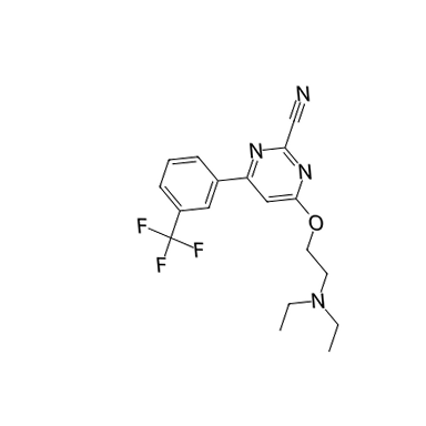 CCN(CC)CCOc1cc(-c2cccc(C(F)(F)F)c2)nc(C#N)n1